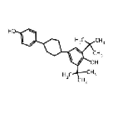 CC(C)(C)c1cc(C2CCC(c3ccc(O)cc3)CC2)cc(C(C)(C)C)c1O